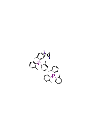 Cc1ccccc1P(c1ccccc1C)c1ccccc1C.Cc1ccccc1P(c1ccccc1C)c1ccccc1C.[I][Pd][I]